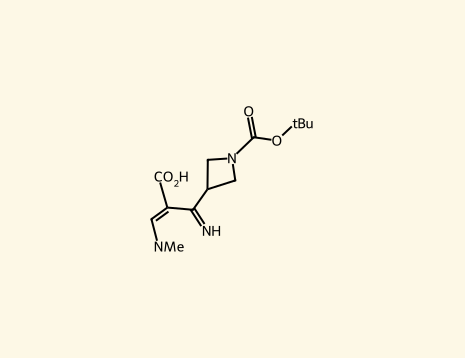 CN/C=C(\C(=N)C1CN(C(=O)OC(C)(C)C)C1)C(=O)O